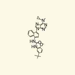 COc1ccc(C(C)(C)C)cc1NC(=O)Nc1ccc(-n2cnc3c(N(C)C4CC4)ncnc32)c2ccccc12